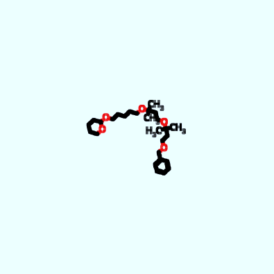 CC(C)(CCOCc1ccccc1)OCCC(C)(C)OCCCCCOC1CCCCO1